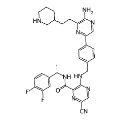 C[C@H](NC(=O)c1nc(C#N)cnc1NCc1ccc(-c2cnc(N)c(CCC3CCCNC3)n2)cc1)c1ccc(F)c(F)c1